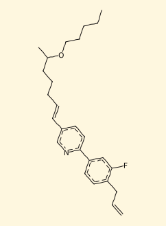 C=CCc1ccc(-c2ccc(C=CCCCC(C)OCCCCC)cn2)cc1F